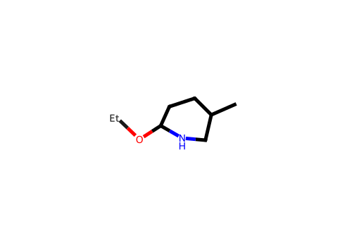 CCOC1CCC(C)CN1